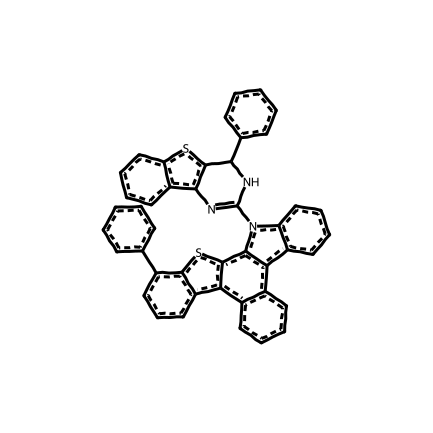 c1ccc(-c2cccc3c2sc2c3c3ccccc3c3c4ccccc4n(C4=Nc5c(sc6ccccc56)C(c5ccccc5)N4)c23)cc1